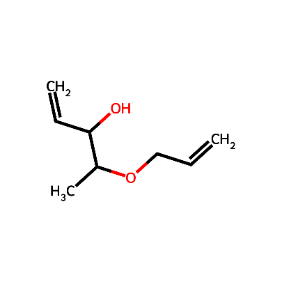 C=CCOC(C)C(O)C=C